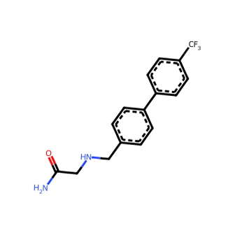 NC(=O)CNCc1ccc(-c2ccc(C(F)(F)F)cc2)cc1